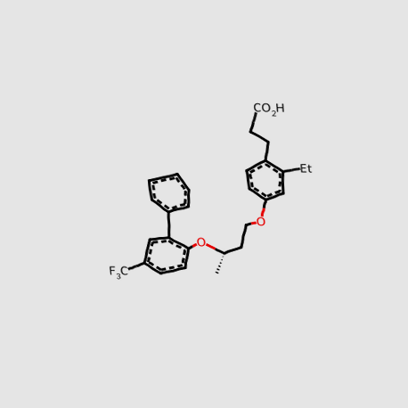 CCc1cc(OCC[C@H](C)Oc2ccc(C(F)(F)F)cc2-c2ccccc2)ccc1CCC(=O)O